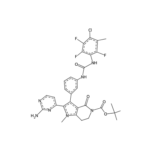 Cc1c(F)c(NC(=O)Nc2cccc(-c3c4c(n(C)c3-c3ccnc(N)n3)CCN(C(=O)OC(C)(C)C)C4=O)c2)c(F)c(F)c1Cl